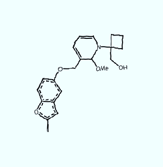 COC1C(COc2ccc3oc(C)cc3c2)=CC=CN1C1(CO)CCC1